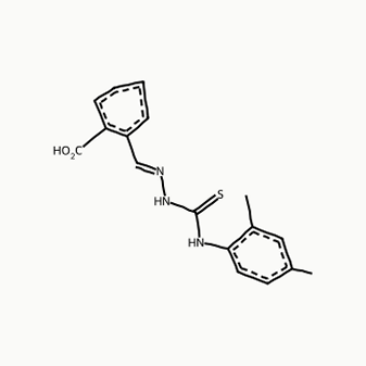 Cc1ccc(NC(=S)NN=Cc2ccccc2C(=O)O)c(C)c1